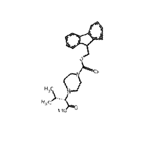 CC(C)[C@@H](C(=O)O)N1CCN(C(=O)OCC2c3ccccc3-c3ccccc32)CC1